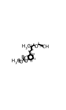 C#CCOC/C(C)=C/Cc1cccc(OC(Br)OC)c1